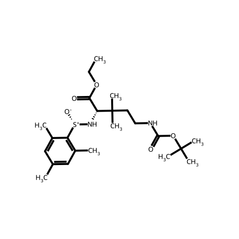 CCOC(=O)[C@@H](N[S@@+]([O-])c1c(C)cc(C)cc1C)C(C)(C)CCNC(=O)OC(C)(C)C